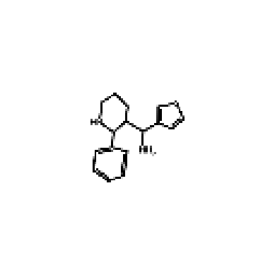 NC(c1ccsc1)C1CCCNC1c1ccccc1